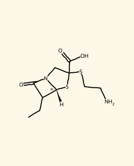 CCC1C(=O)N2CC(SCCN)(C(=O)O)S[C@H]12